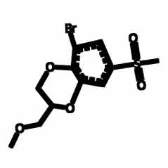 COCC1COc2c(Br)cc(S(C)(=O)=O)cc2O1